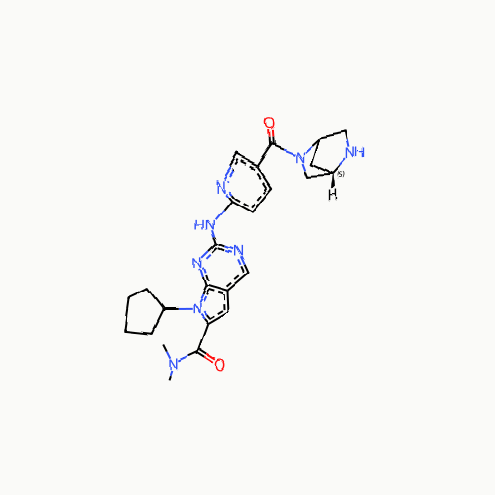 CN(C)C(=O)c1cc2cnc(Nc3ccc(C(=O)N4C[C@@H]5CC4CN5)cn3)nc2n1C1CCCC1